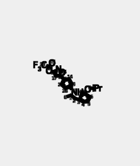 CC(Cc1cccc(OC(C)C)c1)Nc1ccc(-c2cc(OC(=O)C(F)(F)F)no2)cc1